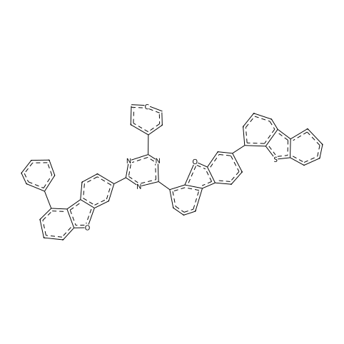 c1ccc(-c2nc(-c3ccc4c(c3)oc3cccc(-c5ccccc5)c34)nc(-c3cccc4c3oc3cc(-c5cccc6c5sc5ccccc56)ccc34)n2)cc1